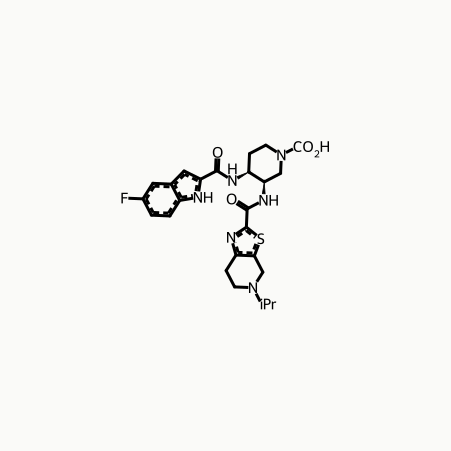 CC(C)N1CCc2nc(C(=O)N[C@@H]3CN(C(=O)O)CC[C@@H]3NC(=O)c3cc4cc(F)ccc4[nH]3)sc2C1